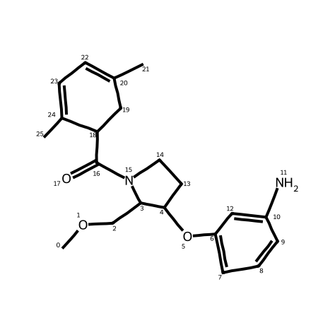 COCC1C(Oc2cccc(N)c2)CCN1C(=O)C1CC(C)=CC=C1C